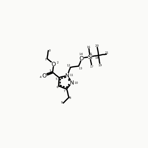 CCOC(=O)c1cc(CC)nn1CCO[Si](C)(C)C(C)(C)C